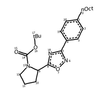 CCCCCCCCc1ccc(-c2noc(C3CCCN3C(=O)OC(C)(C)C)n2)cc1